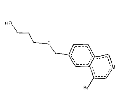 OCCCOCc1ccc2cncc(Br)c2c1